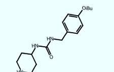 CC(C)COc1ccc(CNC(=O)NC2CCNCC2)cc1